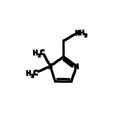 CS1(C)C=CN=C1CN